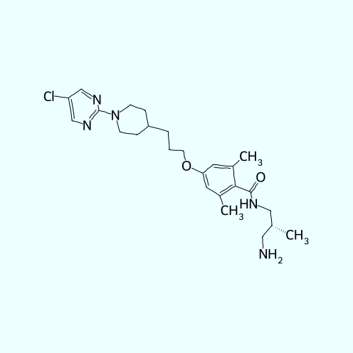 Cc1cc(OCCCC2CCN(c3ncc(Cl)cn3)CC2)cc(C)c1C(=O)NC[C@H](C)CN